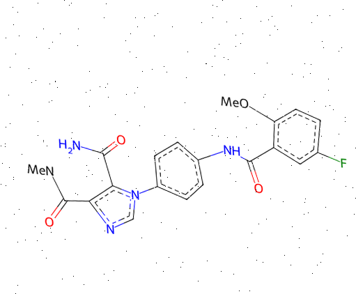 CNC(=O)c1ncn(-c2ccc(NC(=O)c3cc(F)ccc3OC)cc2)c1C(N)=O